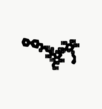 C#CCCO[C@@H]1O[C@H](CO[C@@]2(C(=O)O)C[C@H](O)[C@@H](NC(=O)CO)[C@H]([C@H](O)[C@H](O)CNC(=O)Cc3ccc(-c4ccccc4)cc3)O2)[C@H](O)[C@H](O)[C@H]1O